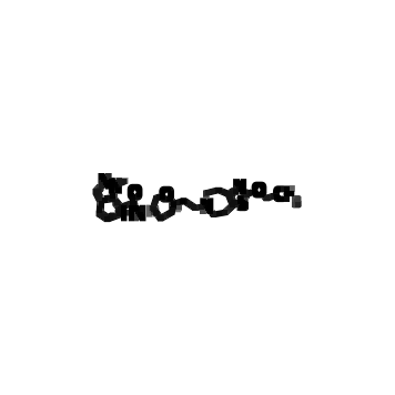 Cn1ncc2cccc(C(=O)N[C@H]3CC[C@H](CCN4CCc5nc(OCC(F)(F)F)sc5CC4)OC3)c21